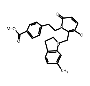 COC(=O)c1ccc(CCn2c(CN3CCc4ccc(C)cc43)c(Cl)ccc2=O)cc1